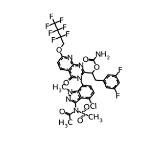 CC(=O)N(c1nn(C)c2c(-n3c(C(Cc4cc(F)cc(F)c4)OC(N)=O)nc4nc(OCC(F)(F)C(F)(F)C(F)(F)F)ccc4c3=O)ccc(Cl)c12)S(C)(=O)=O